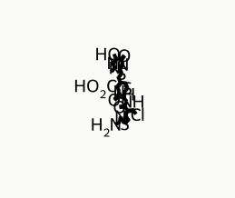 Cn1nc(O)c(=O)nc1SCC1=C(C(=O)O)N2C(=O)C(NC(=O)C(=CCl)c3csc(N)n3)[C@@H]2SC1